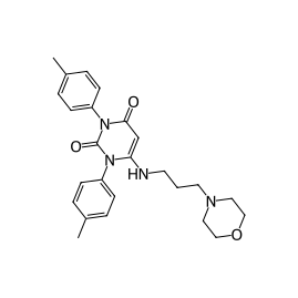 Cc1ccc(-n2c(NCCCN3CCOCC3)cc(=O)n(-c3ccc(C)cc3)c2=O)cc1